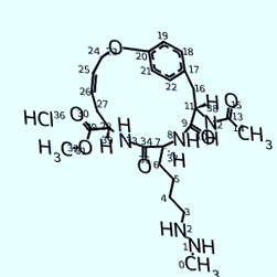 CNNCCCC[C@@H]1NC(=O)[C@@H](NC(C)=O)Cc2ccc(cc2)OC/C=C\C[C@@H](C(=O)OC)NC1=O.Cl